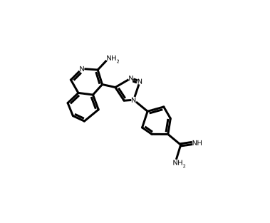 N=C(N)c1ccc(-n2cc(-c3c(N)ncc4ccccc34)nn2)cc1